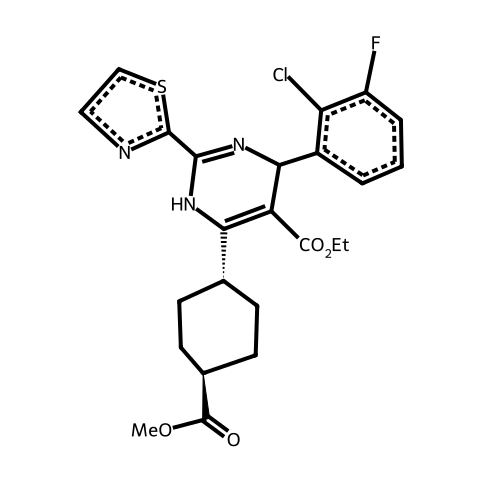 CCOC(=O)C1=C([C@H]2CC[C@H](C(=O)OC)CC2)NC(c2nccs2)=NC1c1cccc(F)c1Cl